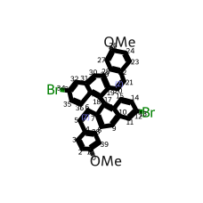 COc1ccc(/C=C\c2ccc3cc(Br)ccc3c2-c2c(/C=C\c3ccc(OC)cc3)ccc3cc(Br)ccc23)cc1